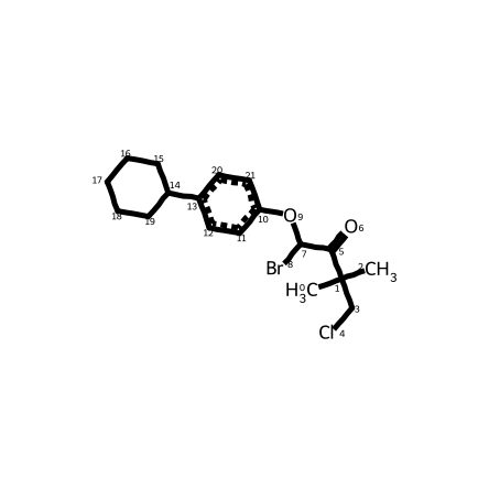 CC(C)(CCl)C(=O)C(Br)Oc1ccc(C2CCCCC2)cc1